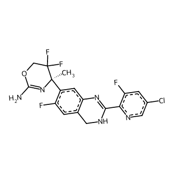 C[C@]1(c2cc3c(cc2F)CNC(c2ncc(Cl)cc2F)=N3)N=C(N)OCC1(F)F